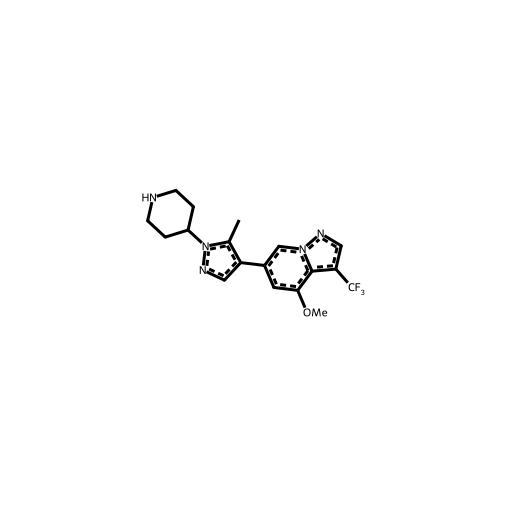 COc1cc(-c2cnn(C3CCNCC3)c2C)cn2ncc(C(F)(F)F)c12